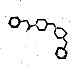 O=C(Cc1ccccc1)N1CCC(CN2CCC(Cc3ccccc3)CC2)CC1